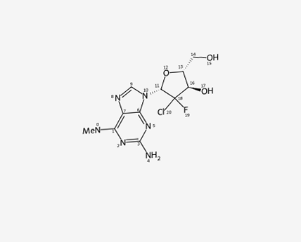 CNc1nc(N)nc2c1ncn2[C@@H]1O[C@H](CO)[C@@H](O)C1(F)Cl